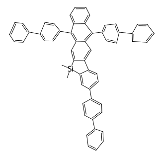 C[Si]1(C)c2cc(-c3ccc(-c4ccccc4)cc3)ccc2-c2cc3c(-c4ccc(-c5ccccc5)cc4)c4ccccc4c(-c4ccc(-c5ccccc5)cc4)c3cc21